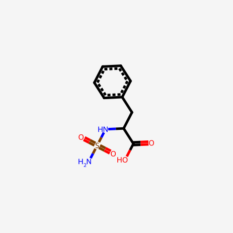 NS(=O)(=O)NC(Cc1ccccc1)C(=O)O